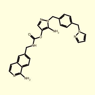 Nc1nccc2cc(CNC(=O)Oc3cnn(Cc4ccc(Cn5cccn5)cc4)c3N)ccc12